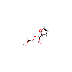 O=[C]COC(=O)c1ccco1